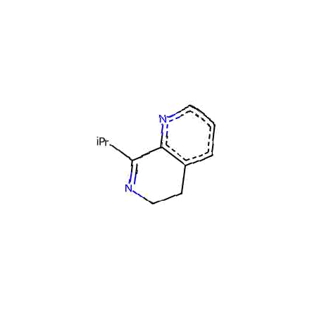 CC(C)C1=NCCc2cccnc21